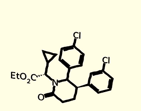 CCOC(=O)[C@H](C1CC1)N1C(=O)CC[C@H](c2cccc(Cl)c2)C1c1ccc(Cl)cc1